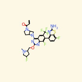 C=CC(=O)N1CCC2C1CN2c1nc(OCC2CC(F)CN2C)nc2c(F)c(-c3ccc(F)c4sc(N)nc34)c(C(F)(F)F)cc12